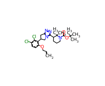 C=CCOc1ccc(Cl)c(Cl)c1C1Cc2nnc(C3CCCN(C(=O)OC(C)(C)C)C3(C)C)n2C1